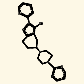 Oc1c2c(nn1-c1ccccn1)CCC(N1CCN(c3ncccn3)CC1)C2